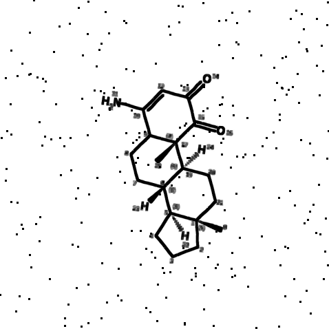 C[C@@]12CCC[C@H]1[C@@H]1CCC3C(N)=CC(=O)C(=O)[C@]3(C)[C@H]1CC2